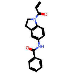 C=CC(=O)N1CCc2cc(NC(=O)c3ccccc3)ccc21